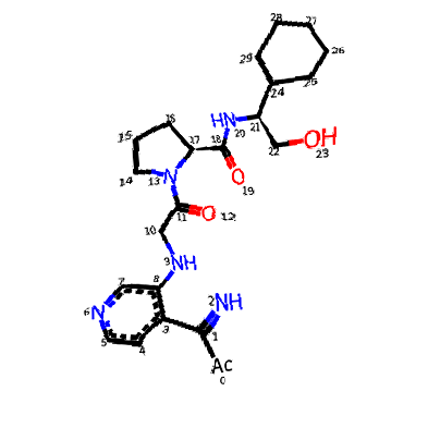 CC(=O)C(=N)c1ccncc1NCC(=O)N1CCC[C@H]1C(=O)N[C@H](CO)C1CCCCC1